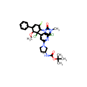 COC1C(c2ccccc2)=CC(F)=C(n2ccn(C)c2=O)C1(Cl)c1cc(Cl)nc(N2CC[C@H](NC(=O)OC(C)(C)C)C2)c1